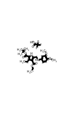 CCOC(=O)c1c(CNc2ccc(OC)c(OC)c2)[nH]c(C(=O)OC(C)(C)C)c1CC.O=C(O)C(F)(F)F